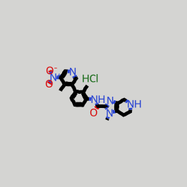 Cc1c(NC(=O)c2nc3c(n2C)CCNC3)cccc1-c1cncc([N+](=O)[O-])c1C.Cl